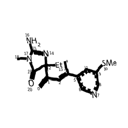 C=C(/C=C(\C)c1cncc(SC)c1)C1(CC)N=C(N)N(C)C1=O